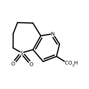 O=C(O)c1cnc2c(c1)S(=O)(=O)CCCC2